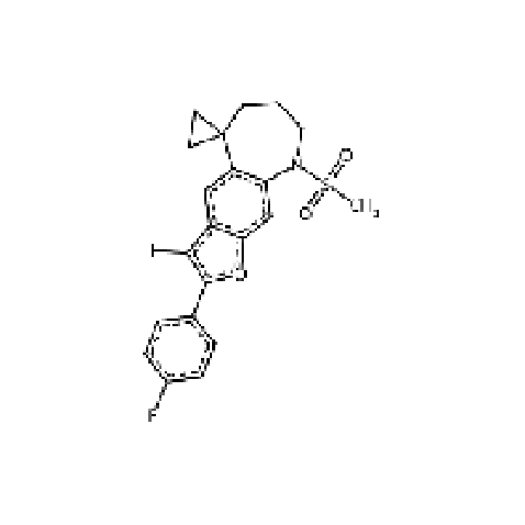 CS(=O)(=O)N1CCCC2(CC2)c2cc3c(I)c(-c4ccc(F)cc4)oc3cc21